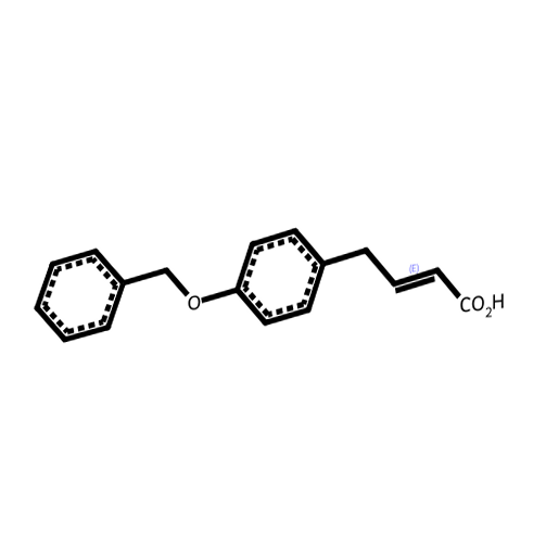 O=C(O)/C=C/Cc1ccc(OCc2ccccc2)cc1